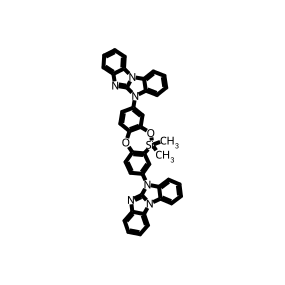 C[Si]1(C)Oc2cc(-n3c4ccccc4n4c5ccccc5nc34)ccc2Oc2ccc(-n3c4ccccc4n4c5ccccc5nc34)cc21